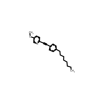 CCCCCCCCc1ccc(C#Cc2ccc(OC)cn2)cc1